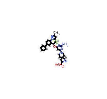 Cc1ccn(-c2ccc(-c3ccccc3)cc2[C@@H](Oc2cc(N3CCC4(CC3)CNC(C(=O)O)C4)nc(N)n2)C(F)(F)F)n1